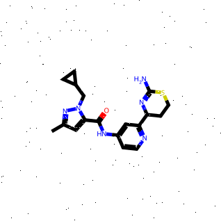 Cc1cc(C(=O)Nc2ccnc(C3CCSC(N)=N3)c2)n(CC2CC2)n1